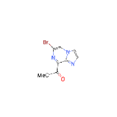 COC(=O)c1nc(Br)cn2ccnc12